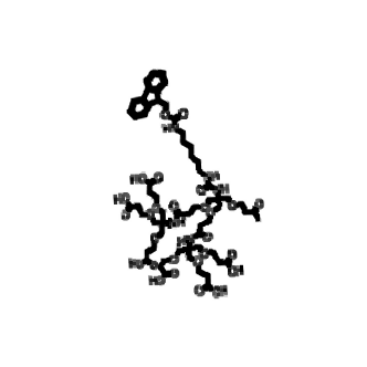 CC(=O)CCOCC(COCCC(=O)NC(COCCC(=O)O)(COCCC(=O)O)COCCC(=O)O)(COCCC(=O)NC(COCCC(=O)O)(COCCC(=O)O)COCCC(=O)O)NC(=O)NCCCCCCNC(=O)OCC1c2ccccc2-c2ccccc21